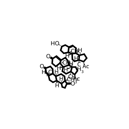 CC(=O)[C@H]1CC[C@H]2[C@@H]3CC=C4C[C@@H](O)CC[C@]4(C)[C@H]3CC[C@]12C.CC(=O)[C@H]1CC[C@H]2[C@@H]3CCC4=CC(=O)CC[C@]4(C)[C@H]3CC[C@]12C.C[C@]12CCC(=O)C=C1CC[C@@H]1[C@@H]2CC[C@]2(C)C(=O)CC[C@@H]12